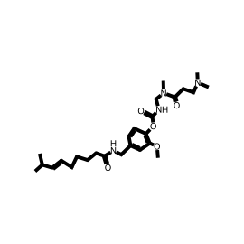 COc1cc(CNC(=O)CCCC/C=C/C(C)C)ccc1OC(=O)NCN(C)C(=O)CCN(C)C